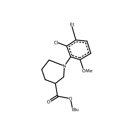 CCc1ccc(OC)c(N2CCCC(C(=O)OC(C)(C)C)C2)c1Cl